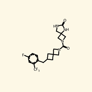 O=C1NCC2(CN(C(=O)N3CC4(CC(Cc5ccc(F)cc5C(F)(F)F)C4)C3)C2)N1